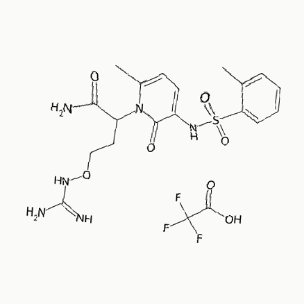 Cc1ccccc1S(=O)(=O)Nc1ccc(C)n(C(CCONC(=N)N)C(N)=O)c1=O.O=C(O)C(F)(F)F